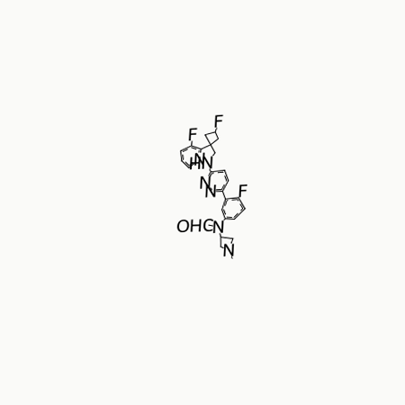 CN1CC(N(C=O)c2ccc(F)c(-c3ccc(NCC4(c5ncccc5F)CC(F)C4)nn3)c2)C1